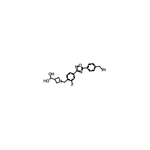 CC(C)Cc1ccc(-c2nc(-c3ccc(CN4CC(C(O)O)C4)c(F)c3)no2)cc1